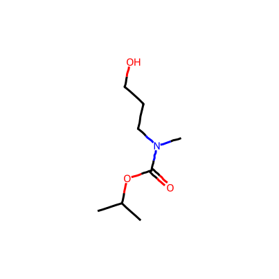 CC(C)OC(=O)N(C)CCCO